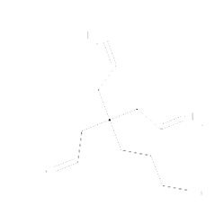 C=CCC(CC=C)(CC=C)CC[CH2][Sn]